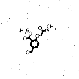 COC(=O)COc1ccc(C=O)cc1C(=O)OC